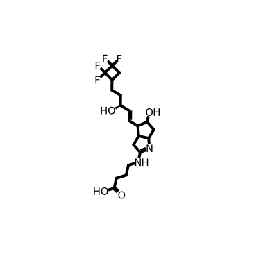 O=C(O)CCCNC1=NC2CC(O)C(C=C[C@@H](O)CCC3CC(F)(F)C3(F)F)C2C1